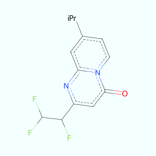 CC(C)c1ccn2c(=O)cc(C(F)C(F)F)nc2c1